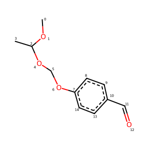 COC(C)OCOc1ccc(C=O)cc1